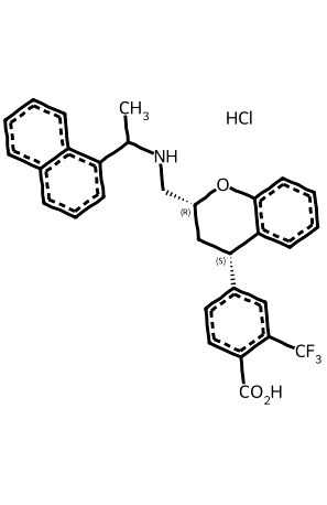 CC(NC[C@H]1C[C@@H](c2ccc(C(=O)O)c(C(F)(F)F)c2)c2ccccc2O1)c1cccc2ccccc12.Cl